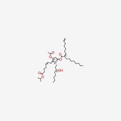 C=CCCCC/C=C(/CCCCCCCC)C(=O)O[C@@H]1C[C@H](OC(C)=O)[C@H](C/C=C\CCCC(=O)OC(C)C)[C@H]1CC[C@@H](O)CCCCC